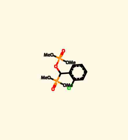 COP(=O)(OC)OC(c1ccccc1Cl)P(=O)(OC)OC